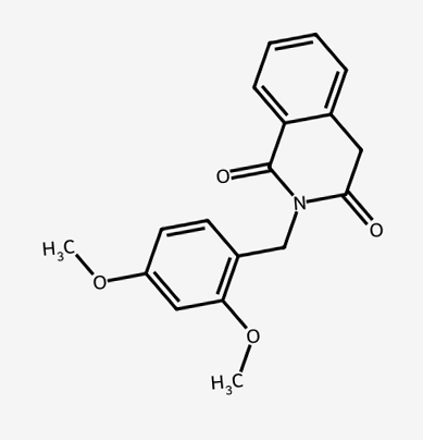 COc1ccc(CN2C(=O)Cc3ccccc3C2=O)c(OC)c1